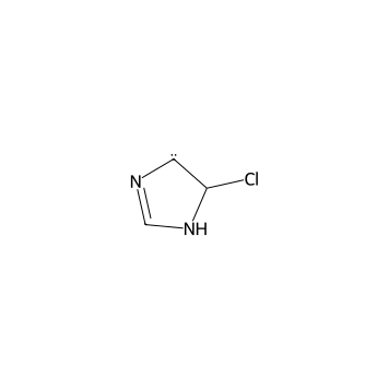 ClC1[C]N=CN1